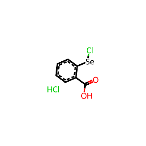 Cl.O=C(O)c1ccccc1[Se]Cl